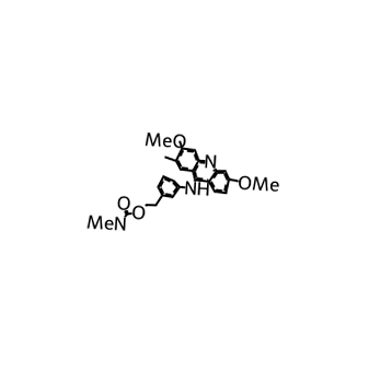 CNC(=O)OCCc1cccc(Nc2c3ccc(OC)cc3nc3cc(OC)c(C)cc23)c1